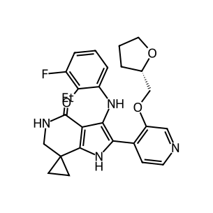 CCc1c(F)cccc1Nc1c(-c2ccncc2OC[C@@H]2CCCO2)[nH]c2c1C(=O)NCC21CC1